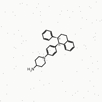 NC1CCN(c2ccc([C@@H]3c4ccccc4CC[C@@H]3c3ccccc3)cc2)CC1